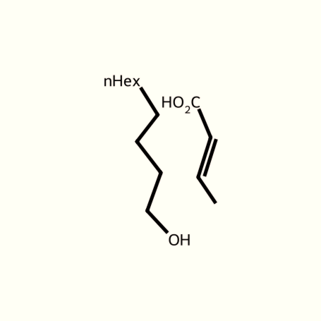 CC=CC(=O)O.CCCCCCCCCCO